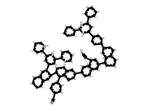 N#Cc1ccc(-c2c(-c3cc4ccccc4cc3-c3cc(-c4ccccn4)nc(-c4ccccn4)c3)ccc3cc(-c4ccc5cc(-c6cccc7ccc(-c8ccc(-c9cc(-c%10ccccc%10)nc(-c%10ccccc%10)n9)cc8)cc67)cc(C#N)c5c4)ccc23)cc1